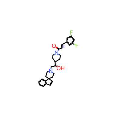 O=C(/C=C/c1cc(F)cc(F)c1)N1CCC([C@@H](O)CN2CCC3(C=Cc4ccccc43)CC2)CC1